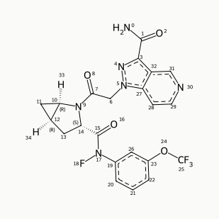 NC(=O)c1nn(CC(=O)N2[C@@H]3C[C@@H]3C[C@H]2C(=O)N(F)c2cccc(OC(F)(F)F)c2)c2ccncc12